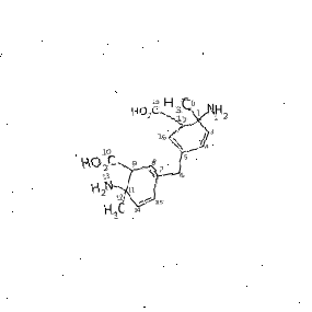 CC1(N)C=CC(CC2=CC(C(=O)O)C(C)(N)C=C2)=CC1C(=O)O